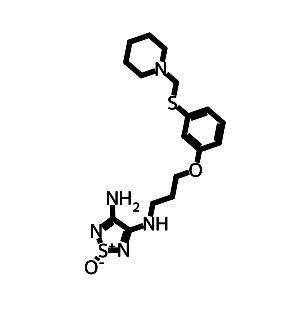 Nc1n[s+]([O-])nc1NCCCOc1cccc(SCN2CCCCC2)c1